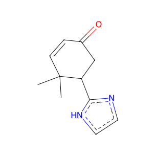 CC1(C)C=CC(=O)CC1c1ncc[nH]1